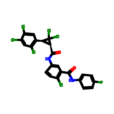 O=C(Nc1ccc(F)cc1)c1cc(NC(=O)[C@@H]2[C@@H](c3cc(Cl)c(Cl)cc3Cl)C2(Cl)Cl)ccc1Cl